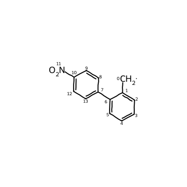 [CH2]c1ccccc1-c1ccc([N+](=O)[O-])cc1